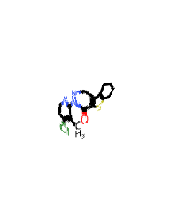 Cc1c(Cl)ccnc1-n1ncc2c3c(sc2c1=O)CCCC3